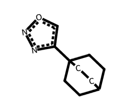 c1onnc1C12CCC(CC1)CC2